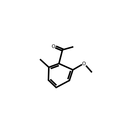 COc1cccc(C)c1C(C)=O